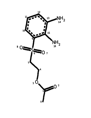 CC(=O)OCCS(=O)(=O)c1cccc(N)c1N